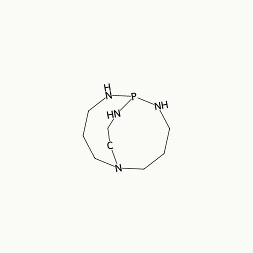 C1CNP2NCCCN(C1)CCN2